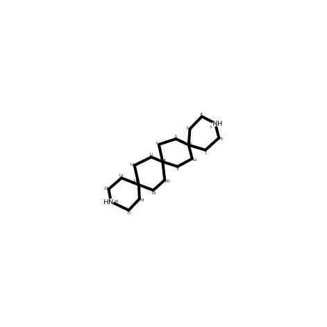 C1CC2(CCN1)CCC1(CC2)CCC2(CCNCC2)CC1